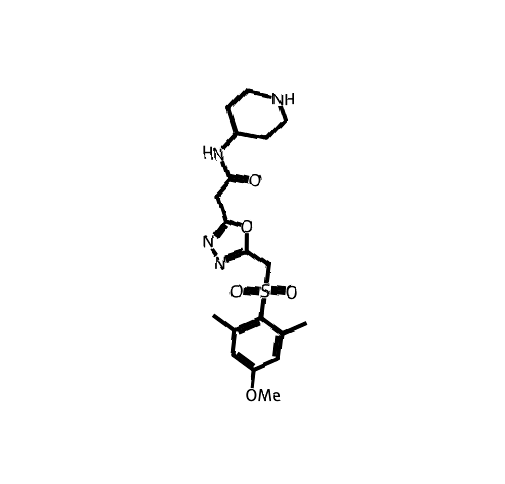 COc1cc(C)c(S(=O)(=O)Cc2nnc(CC(=O)NC3CCNCC3)o2)c(C)c1